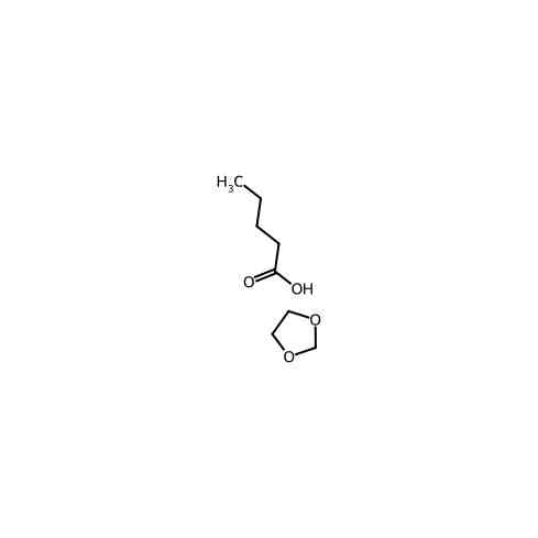 C1COCO1.CCCCC(=O)O